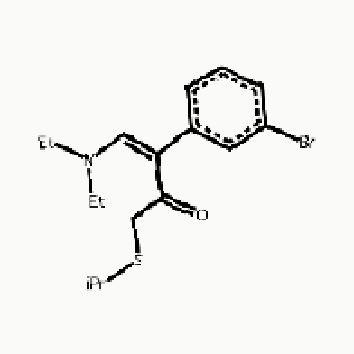 CCN(C=C(C(=O)CSC(C)C)c1cccc(Br)c1)CC